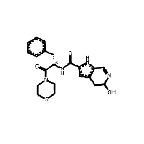 O=C(N[C@@H](Cc1ccccc1)C(=O)N1CCSCC1)c1cc2c([nH]1)C=NC(O)C2